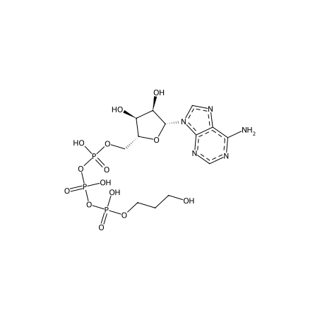 Nc1ncnc2c1ncn2[C@@H]1O[C@H](COP(=O)(O)OP(=O)(O)OP(=O)(O)OCCCO)[C@@H](O)[C@H]1O